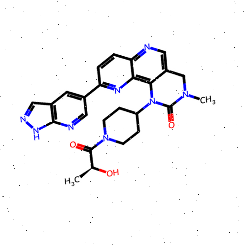 C[C@H](O)C(=O)N1CCC(N2C(=O)N(C)Cc3cnc4ccc(-c5cnc6[nH]ncc6c5)nc4c32)CC1